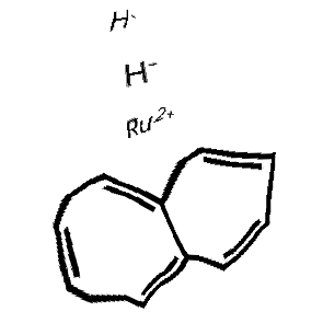 [H-].[H-].[Ru+2].c1ccc2ccccc2c1